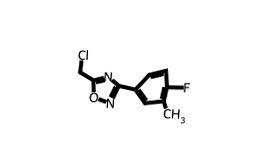 Cc1cc(-c2noc(CCl)n2)ccc1F